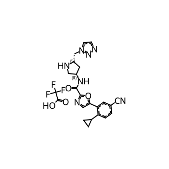 N#Cc1ccc(C2CC2)c(-c2cnc(C(=O)N[C@H]3CN[C@H](Cn4ccnn4)C3)o2)c1.O=C(O)C(F)(F)F